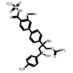 CC(C)Sc1cc(-c2ccc(C(COC(N)=O)(C[C@@H](O)c3ccc(N)cc3)C(C)(C)C)cc2)ccc1C(=O)NS(C)(=O)=O